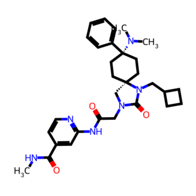 CNC(=O)c1ccnc(NC(=O)CN2C[C@]3(CC[C@@](c4ccccc4)(N(C)C)CC3)N(CC3CCC3)C2=O)c1